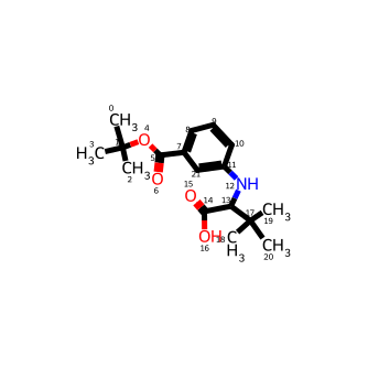 CC(C)(C)OC(=O)c1cccc(NC(C(=O)O)C(C)(C)C)c1